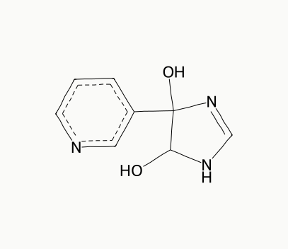 OC1NC=NC1(O)c1cccnc1